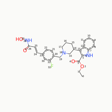 CCOC(=O)c1[nH]c2ccccc2c1C1CCCN(Cc2ccc(C=CC(=O)NO)cc2F)C1